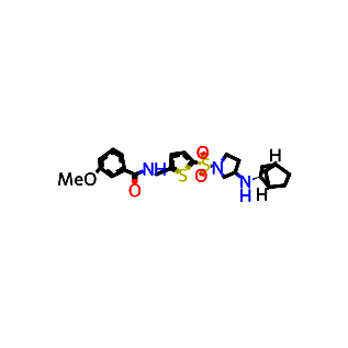 COc1cccc(C(=O)NCc2ccc(S(=O)(=O)N3CCC(N[C@@H]4C[C@@H]5CC[C@@H]4C5)C3)s2)c1